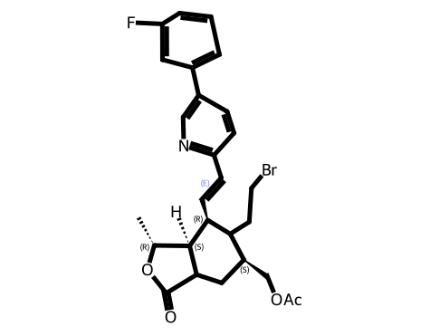 CC(=O)OC[C@H]1CC2C(=O)O[C@H](C)[C@H]2[C@@H](/C=C/c2ccc(-c3cccc(F)c3)cn2)C1CCBr